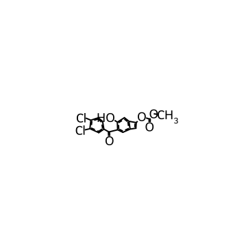 COC(=O)OC1=Cc2cc(C(=O)c3ccc(Cl)c(Cl)c3)c(O)cc21